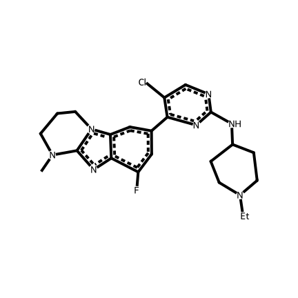 CCN1CCC(Nc2ncc(Cl)c(-c3cc(F)c4nc5n(c4c3)CCCN5C)n2)CC1